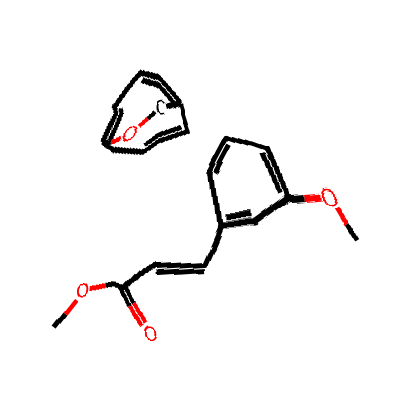 COC(=O)C=Cc1cccc(OC)c1.c1cc2ccc1CO2